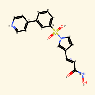 O=C(/C=C/c1ccn(S(=O)(=O)c2cccc(-c3ccncc3)c2)c1)NO